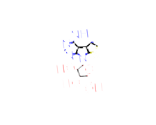 Nc1ncnc2c1c1ccsc1n2[C@@H]1O[C@H](CO)[C@@H](O)[C@H]1O